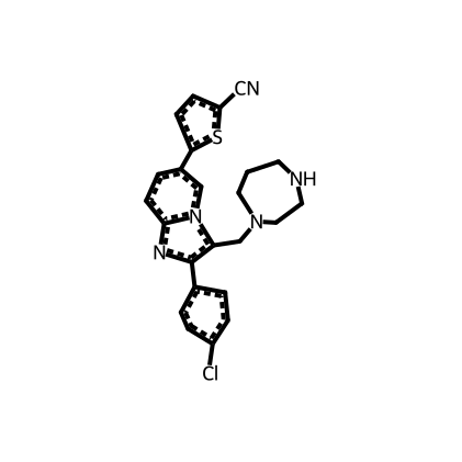 N#Cc1ccc(-c2ccc3nc(-c4ccc(Cl)cc4)c(CN4CCCNCC4)n3c2)s1